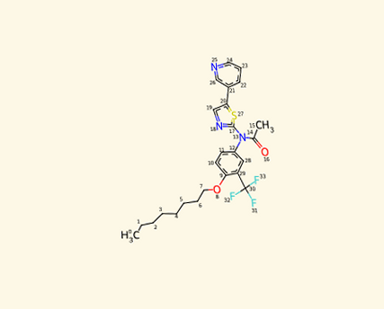 CCCCCCCCOc1ccc(N(C(C)=O)c2ncc(-c3cccnc3)s2)cc1C(F)(F)F